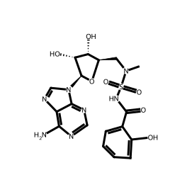 CN(C[C@H]1O[C@@H](n2cnc3c(N)ncnc32)[C@H](O)[C@@H]1O)S(=O)(=O)NC(=O)c1ccccc1O